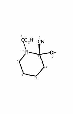 N#C[C@@]1(O)CCCCN1C(=O)O